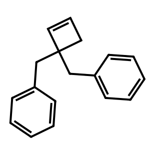 C1=CC(Cc2ccccc2)(Cc2ccccc2)C1